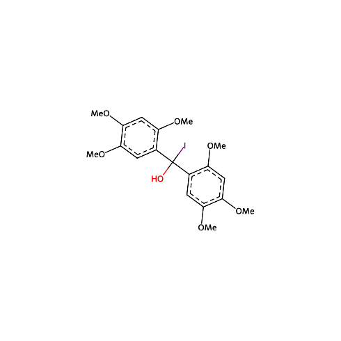 COc1cc(OC)c(C(O)(I)c2cc(OC)c(OC)cc2OC)cc1OC